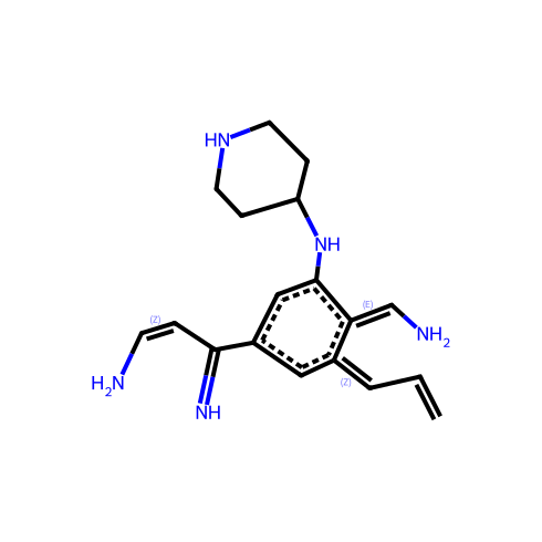 C=C/C=c1/cc(C(=N)/C=C\N)cc(NC2CCNCC2)/c1=C/N